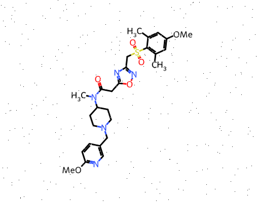 COc1cc(C)c(S(=O)(=O)Cc2noc(CC(=O)N(C)C3CCN(Cc4ccc(OC)nc4)CC3)n2)c(C)c1